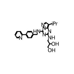 CC(C)c1cnn2c(NCc3ccc(-c4ccccn4)cc3)nc(NCC(O)CO)nc12